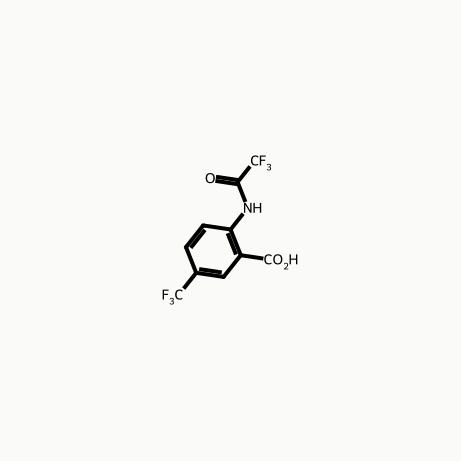 O=C(O)c1cc(C(F)(F)F)ccc1NC(=O)C(F)(F)F